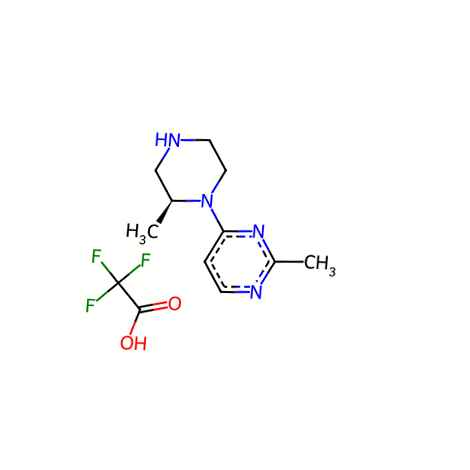 Cc1nccc(N2CCNC[C@@H]2C)n1.O=C(O)C(F)(F)F